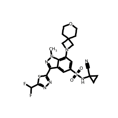 Cn1nc(-c2nnc(C(F)F)s2)c2cc(S(=O)(=O)NC3(C#N)CC3)cc(N3CC4(CCOCC4)C3)c21